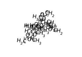 C=CC(=O)ON(C)COC(C)(C)C(CC)(CC(C)(C)OCCC(C)(C)OC(=O)C=C)C(C)(C)OCCC(C)(C)OC(=O)C=C